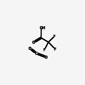 O=C(O)C(F)(F)F.O=C=O